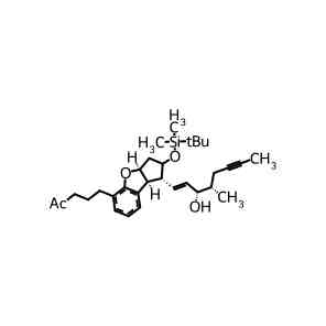 CC#CC[C@H](C)[C@H](O)/C=C/[C@H]1C(O[Si](C)(C)C(C)(C)C)C[C@@H]2Oc3c(CCCC(C)=O)cccc3[C@@H]21